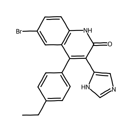 CCc1ccc(-c2c(-c3cnc[nH]3)c(=O)[nH]c3ccc(Br)cc23)cc1